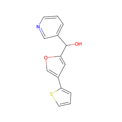 OC(c1cccnc1)c1cc(-c2cccs2)co1